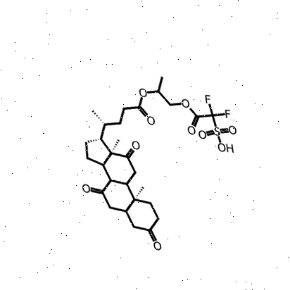 CC(COC(=O)C(F)(F)S(=O)(=O)O)OC(=O)CC[C@@H](C)[C@H]1CCC2C3C(=O)CC4CC(=O)CC[C@]4(C)C3CC(=O)[C@@]21C